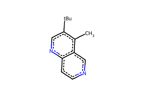 Cc1c(C(C)(C)C)cnc2ccncc12